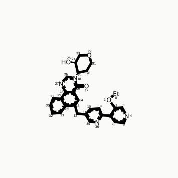 CCOc1cnccc1-c1ccc(Cc2cc3c(=O)n([C@H]4CCOC[C@@H]4O)cnc3c3ccccc23)cn1